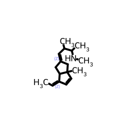 C/C=C1/C=CC2(C)C/C(=C\C(C)C(C)NC)CC12